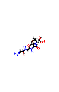 CC1(C)S[C@@H]2C(NC(=O)CNC(=O)CN)C(=O)N2[C@H]1C(=O)O